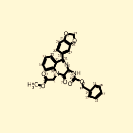 COC(=O)CN1C(=O)C(NC(=O)OCc2ccccc2)N=C(c2ccc3c(c2)OCO3)c2ccccc21